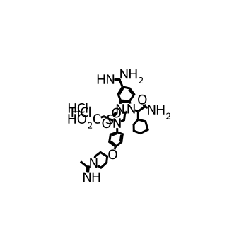 CC(=N)N1CCC(Oc2ccc(N(Cc3nc4cc(C(=N)N)ccc4n3C(C(N)=O)C3CCCCC3)S(=O)(=O)CC(=O)O)cc2)CC1.Cl.Cl